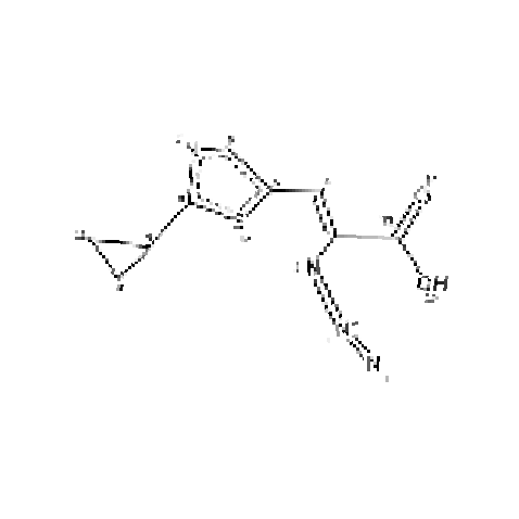 [N-]=[N+]=NC(=Cc1cnc(C2CC2)s1)C(=O)O